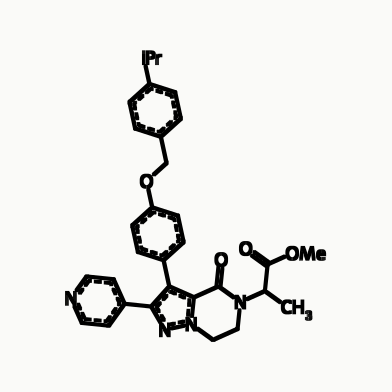 COC(=O)C(C)N1CCn2nc(-c3ccncc3)c(-c3ccc(OCc4ccc(C(C)C)cc4)cc3)c2C1=O